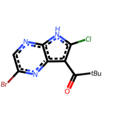 CC(C)(C)C(=O)c1c(Cl)[nH]c2ncc(Br)nc12